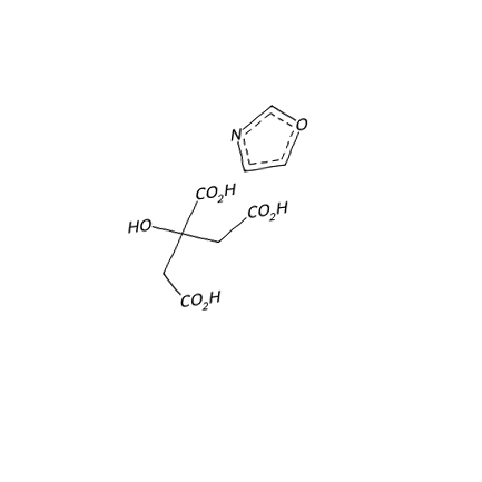 O=C(O)CC(O)(CC(=O)O)C(=O)O.c1cocn1